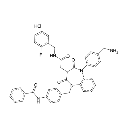 Cl.NCc1ccc(N2C(=O)C(CC(=O)NCc3ccccc3F)C(=O)N(Cc3ccc(NC(=O)c4ccccc4)cc3)c3ccccc32)cc1